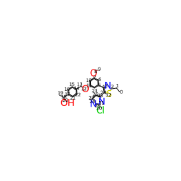 CCc1nc(-c2cc(OC)cc(OCc3ccc(C(C)O)cc3)c2)c(-c2ccnc(Cl)n2)s1